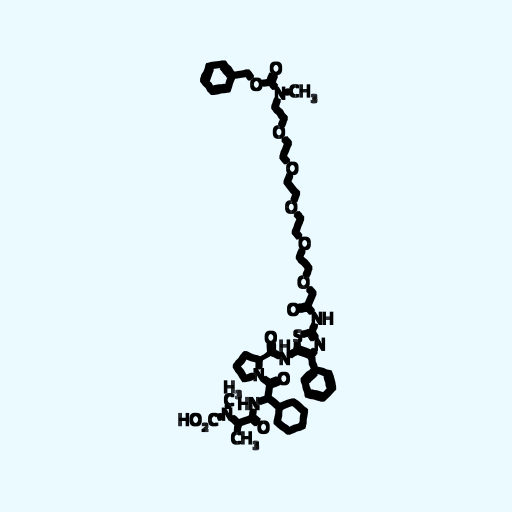 CC(C(=O)NC(C(=O)N1CCC[C@H]1C(=O)Nc1sc(NC(=O)COCCOCCOCCOCCOCCN(C)C(=O)OCc2ccccc2)nc1-c1ccccc1)C1CCCCC1)N(C)C(=O)O